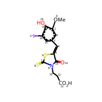 COc1cc(/C=C2\SC(=S)N(CCC(=O)O)C2=O)cc(I)c1O